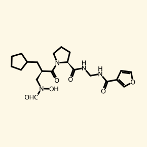 O=CN(O)C[C@@H](CC1CCCC1)C(=O)N1CCC[C@H]1C(=O)NCNC(=O)c1ccoc1